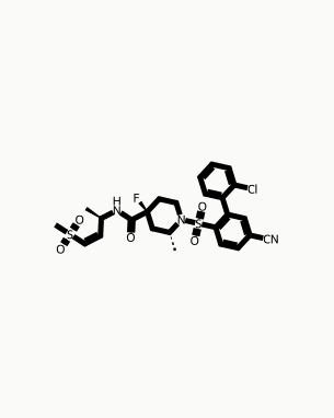 C[C@H](/C=C\S(C)(=O)=O)NC(=O)[C@]1(F)CCN(S(=O)(=O)c2ccc(C#N)cc2-c2ccccc2Cl)[C@H](C)C1